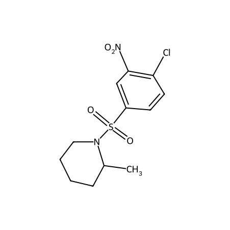 CC1CCCCN1S(=O)(=O)c1ccc(Cl)c([N+](=O)[O-])c1